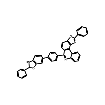 c1ccc(-c2nc3c(ccc4c(-c5ccc(-c6ccc7c(c6)SC(c6ccccc6)N7)cc5)nc5ccccc5c43)o2)cc1